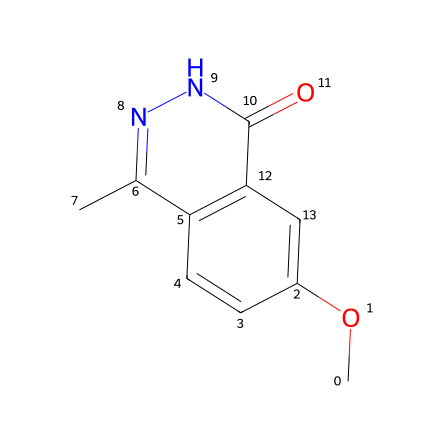 COc1ccc2c(C)n[nH]c(=O)c2c1